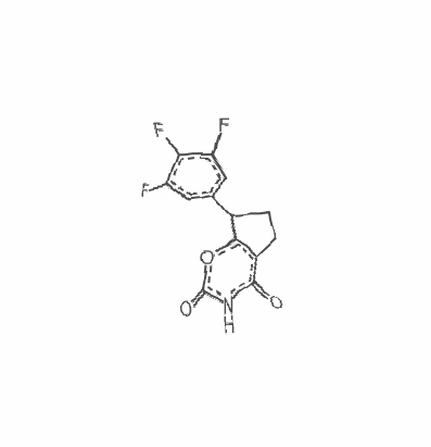 O=c1[nH]c(=O)c2c(o1)C(c1cc(F)c(F)c(F)c1)CC2